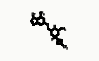 CC1CC(F)(C23CC(C(F)(F)F)(C2)C3)CC(COc2cc(C(F)(F)F)c3c(c2)ncn3C(C)C)N1